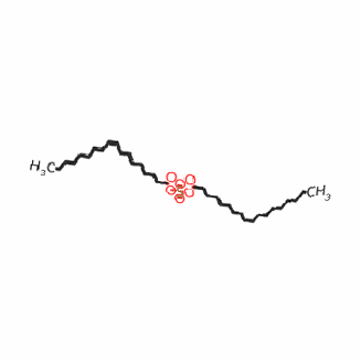 CCCCCCCC/C=C\CCCCCCCC(=O)OS(=O)(=O)OC(=O)CCCCCCC/C=C\CCCCCCCC